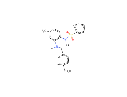 CC(C)N(c1ccc(C(F)(F)F)cc1N(C)Cc1ccc(C(=O)O)cc1)S(=O)(=O)c1ccccc1